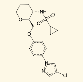 O=S(=O)(N[C@H]1CCCO[C@@H]1COc1ccc(-n2cc(Cl)cn2)cc1)C1CC1